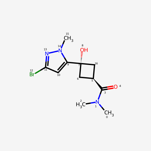 CN(C)C(=O)[C@H]1C[C@@](O)(c2cc(Br)nn2C)C1